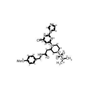 COc1ccc(CNC(=O)CC2CN(S(=O)(=O)N(C)C)CCN2c2cc(Cl)nc(-n3ccnc3)n2)cc1